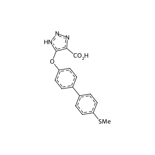 CSc1ccc(-c2ccc(Oc3[nH]nnc3C(=O)O)cc2)cc1